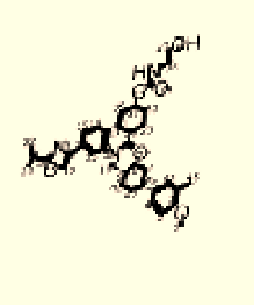 COc1ccc([C@H]2CC[C@H](CN(c3cccc(-c4coc(C(C)C)n4)c3)C(=O)[C@H]3CC[C@H](OC(=O)NCCO)CC3)CC2)cc1C